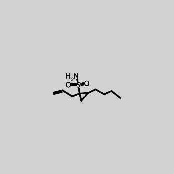 C=CCC1(S(N)(=O)=O)CC1CCCC